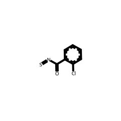 O=C(N=S)c1ccccc1Cl